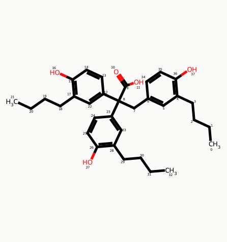 CCCCc1cc(CC(C(=O)O)(c2ccc(O)c(CCCC)c2)c2ccc(O)c(CCCC)c2)ccc1O